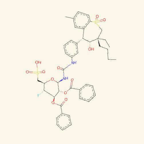 CCCC[C@]1(CC)CS(=O)(=O)c2ccc(C)cc2[C@@H](c2cccc(NC(=O)N[C@@H]3O[C@H](CS(=O)(=O)O)[C@@H](F)[C@H](OC(=O)c4ccccc4)[C@H]3OC(=O)c3ccccc3)c2)[C@H]1O